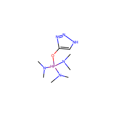 CN(C)[PH](Oc1c[nH]nn1)(N(C)C)N(C)C